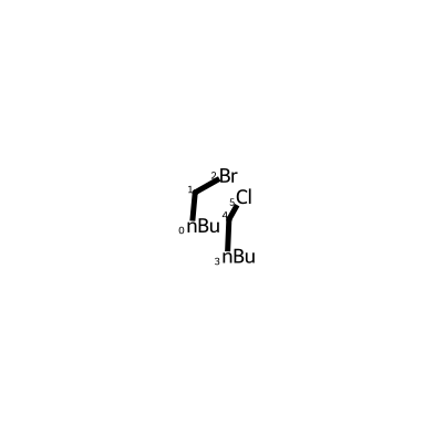 CCCCCBr.CCCCCCl